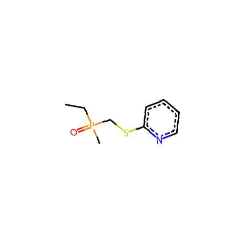 CCP(C)(=O)CSc1ccccn1